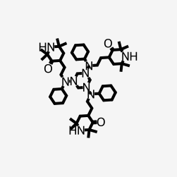 CC1(C)CC(CCN(C2CCCCC2)N2CN(N(CCC3CC(C)(C)NC(C)(C)C3=O)C3CCCCC3)CN(N(CCC3CC(C)(C)NC(C)(C)C3=O)C3CCCCC3)C2)C(=O)C(C)(C)N1